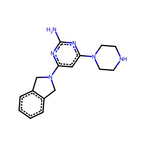 Nc1nc(N2CCNCC2)cc(N2Cc3ccccc3C2)n1